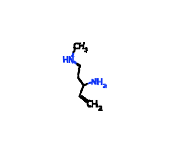 C=CC(N)CCNC